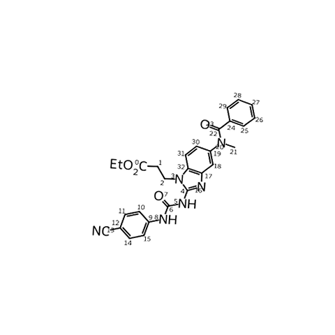 CCOC(=O)CCn1c(NC(=O)Nc2ccc(C#N)cc2)nc2cc(N(C)C(=O)c3ccccc3)ccc21